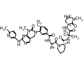 Cc1ccc(Nc2ncc3c(n2)N(C)C(=O)N(c2cc(C(=O)N[C@H](C(=O)N4CCCC[C@H]4C(=O)NC(C)(C)C(=O)N[C@@H](CC(C)C)C(=O)N(C)C)C(C)C)ccc2C)C3)cn1